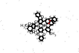 Cc1ccc(N2B3c4cc5c(cc4N(c4cc6c(cc4C)C(C)(C)CCC6(C)C)c4cc6c(oc7ccccc76)c(c43)-c3cc4sc6ccccc6c4cc32)Oc2ccccc2O5)c(-c2ccccc2)c1